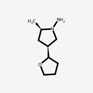 C[C@@H]1C[C@H](C2CCCO2)CN1N